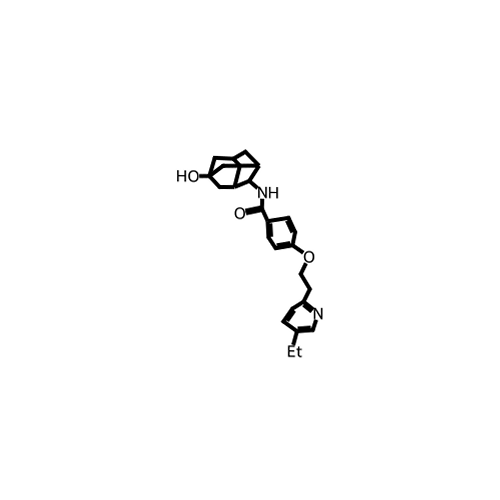 CCc1ccc(CCOc2ccc(C(=O)NC3C4CC5CC3CC(O)(C5)C4)cc2)nc1